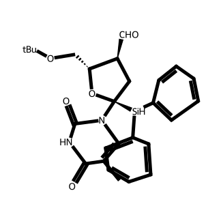 Cc1cn([C@@]2([SiH](c3ccccc3)c3ccccc3)C[C@H](C=O)[C@@H](COC(C)(C)C)O2)c(=O)[nH]c1=O